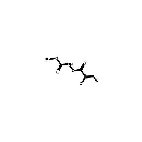 CC=C(Cl)C(=O)ONC(=O)OC(C)(C)C